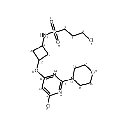 O=S(=O)(CCCCl)NC1CC(Oc2cc(Cl)nc(N3CCOCC3)n2)C1